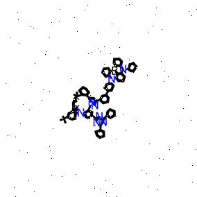 CC(C)(C)c1ccc2c(c1)c1cc3ccc1n2-c1ccc(-c2nc(-c4ccccc4)nc(-c4ccccc4)n2)cc1-c1nc(-c2cccc(-c4ccc(N5c6ccccc6B6c7ccccc7N(c7ccccc7)c7cccc5c76)cc4)c2)cc(n1)-c1ccccc1C3(C)C